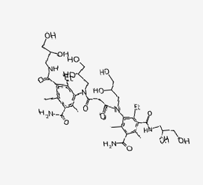 CCc1c(C(=O)NCC(O)CO)c(C)c(C(N)=O)c(C)c1N(CC(O)CO)C(=O)CC(=O)N(CC(O)CO)c1c(C)c(C(N)=O)c(C)c(C(=O)NCC(O)CO)c1CC